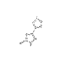 O=c1[nH]nc(-c2c[nH]cn2)o1